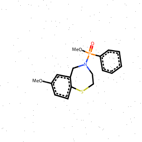 COc1ccc2c(c1)CN(P(=O)(OC)c1ccccc1)CCS2